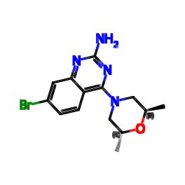 C[C@@H]1CN(c2nc(N)nc3cc(Br)ccc23)C[C@@H](C)O1